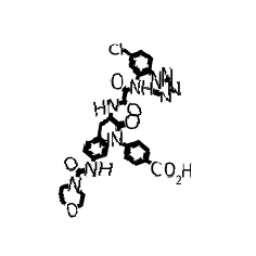 O=C(Nc1cc(Cl)ccc1-n1cnnn1)C(=O)NC(Cc1ccc(NC(=O)N2CCOCC2)cc1)C(=O)Nc1ccc(C(=O)O)cc1